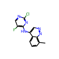 Cc1cccc2c(Nc3nc(Cl)ncc3F)cnnc12